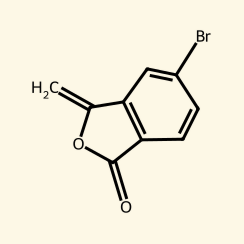 C=C1OC(=O)c2ccc(Br)cc21